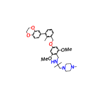 COc1cc(OCc2cccc(-c3ccc4c(c3)OCCO4)c2C)cc(OC)c1CNC(C)(C)CN1CCN(C)CC1